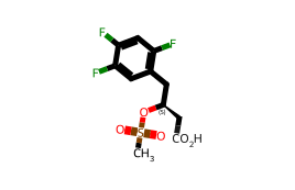 CS(=O)(=O)O[C@H](CC(=O)O)Cc1cc(F)c(F)cc1F